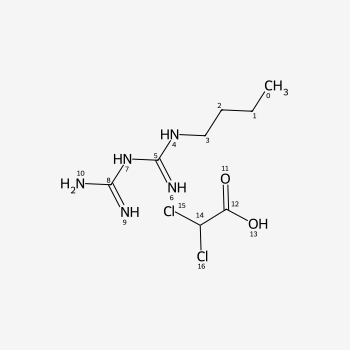 CCCCNC(=N)NC(=N)N.O=C(O)C(Cl)Cl